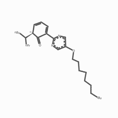 CCCCC(CCC)[C@H]1C=CC=C(c2ncc(OCCCCCCCC(C)CC)cn2)C1=O